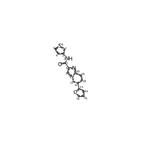 O=C(Nc1ccsc1)c1cn2cc(-c3ccco3)ccc2n1